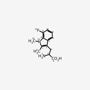 Cc1c(CC(N)C(=O)O)c2cccc(F)c2n1C